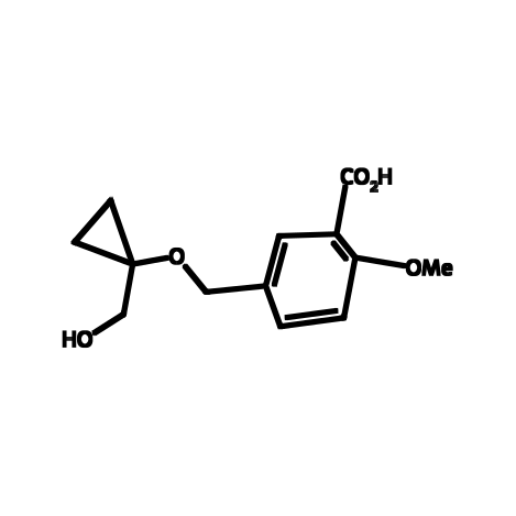 COc1ccc(COC2(CO)CC2)cc1C(=O)O